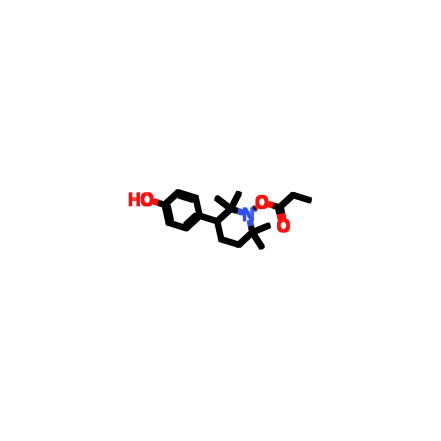 CCC(=O)ON1C(C)(C)CCC(c2ccc(O)cc2)C1(C)C